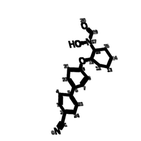 N#Cc1ccc(-c2ccc(OC3CCCCC3N(O)C=O)cc2)cc1